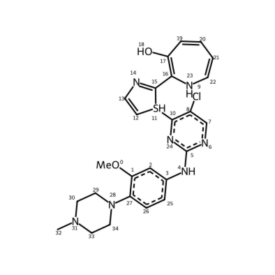 COc1cc(Nc2ncc(Cl)c([SH]3C=CN=C3C3=C(O)C=CC=CN3)n2)ccc1N1CCN(C)CC1